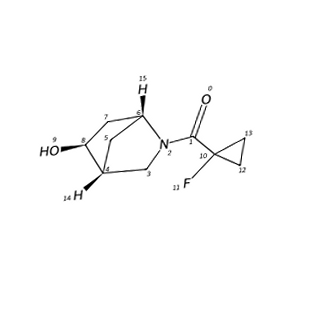 O=C(N1C[C@H]2C[C@@H]1C[C@@H]2O)C1(F)CC1